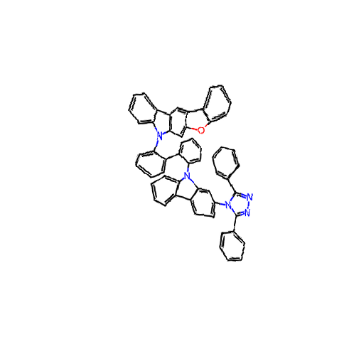 c1ccc(-c2nnc(-c3ccccc3)n2-c2ccc3c4ccccc4n(-c4ccccc4-c4ccccc4-n4c5ccccc5c5cc6c(cc54)oc4ccccc46)c3c2)cc1